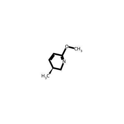 COC1=NC[C@@H](C)C=C1